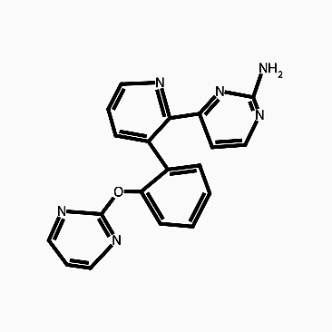 Nc1nccc(-c2ncccc2-c2ccccc2Oc2ncccn2)n1